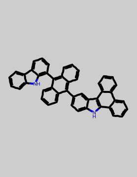 c1ccc2c(c1)[nH]c1c(-c3c4ccccc4c(-c4ccc5[nH]c6c7ccccc7c7ccccc7c6c5c4)c4ccccc34)cccc12